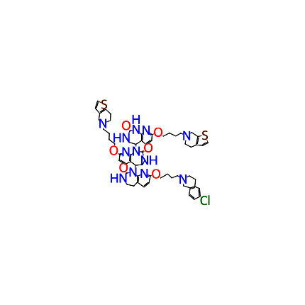 O=C1NCC(N2C(=O)NCC(N3C(=O)NCCc4ccc(OCCCCN5CCc6cc(Cl)ccc6C5)nc43)c3ccc(OCCCCN4CCc5sccc5C4)nc32)c2ccc(OCCCCN3CCc4ccsc4C3)nc2N1